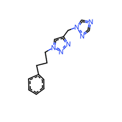 c1ccc(CCCn2cc(Cn3cncn3)nn2)cc1